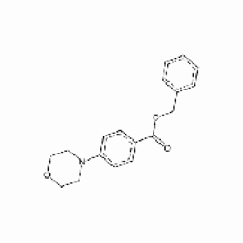 O=C(OCc1ccccc1)c1ccc(N2CCOCC2)cc1